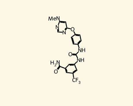 CNc1cc(Oc2ccc(NC(=O)Nc3cc(C(N)=O)cc(C(F)(F)F)c3)cc2)ncn1